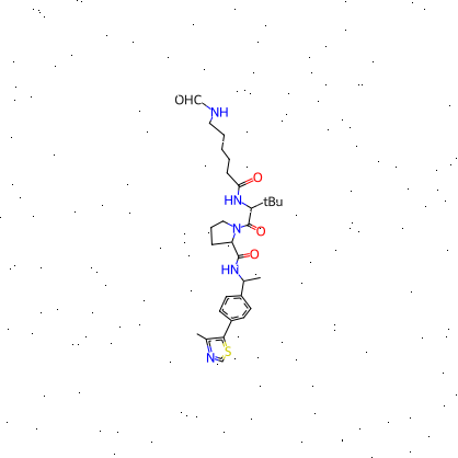 Cc1ncsc1-c1ccc(C(C)NC(=O)C2CCCN2C(=O)C(NC(=O)CCCCCNC=O)C(C)(C)C)cc1